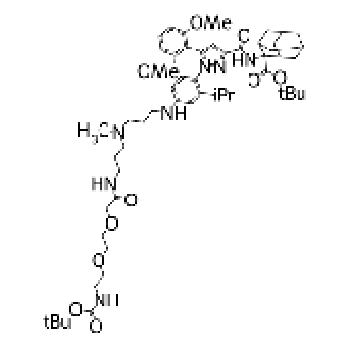 COc1cccc(OC)c1-c1cc(C(=O)NC2(C(=O)OC(C)(C)C)C3CC4CC(C3)CC2C4)nn1-c1ccc(NCCCN(C)CCCNC(=O)COCCOCCNC(=O)OC(C)(C)C)cc1C(C)C